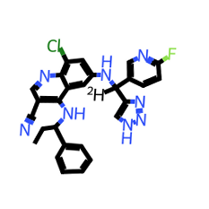 [2H]C(Nc1cc(Cl)c2ncc(C#N)c(NC(CC)c3ccccc3)c2c1)(c1ccc(F)nc1)c1c[nH]nn1